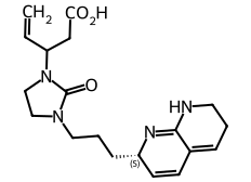 C=CC(CC(=O)O)N1CCN(CCC[C@H]2C=CC3=CCCNC3=N2)C1=O